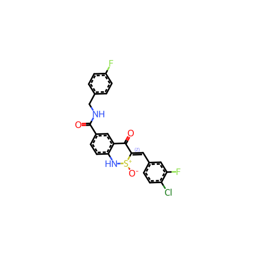 O=C(NCc1ccc(F)cc1)c1ccc2c(c1)C(=O)/C(=C/c1ccc(Cl)c(F)c1)[S+]([O-])N2